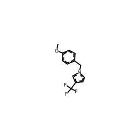 COc1ccc(Cn2ccc(C(F)(F)F)c2)cc1